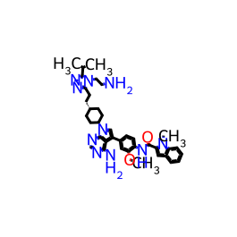 COc1cc(-c2cn([C@H]3CC[C@@H](CCc4nnc(C(C)C)n4CCN)CC3)c3ncnc(N)c23)ccc1NC(=O)c1cc2ccccc2n1C